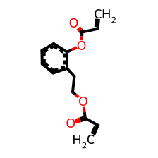 C=CC(=O)OCCc1ccccc1OC(=O)C=C